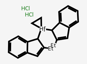 CCC1=Cc2ccccc2[CH]1[Hf]1([CH]2C(CC)=Cc3ccccc32)[CH2][CH2]1.Cl.Cl